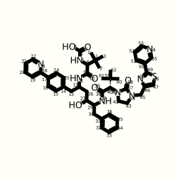 CC(C)(C)C(NC(=O)O)C(=O)NC(Cc1ccc(-c2ccccn2)cc1)CC(O)C(Cc1ccccc1)NC(=O)[C@@H](N1CCN(Cc2csc(-c3cccnc3)n2)C1=O)C(C)(C)C